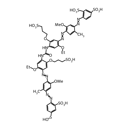 CCOc1cc(NC(=O)Nc2cc(OCC)c(N=Nc3cc(C)c(N=Nc4ccc(S(=O)(=O)O)cc4S(=O)(=O)O)cc3OC)cc2OCCCS(=O)(=O)O)c(OCCCS(=O)(=O)O)cc1N=Nc1cc(C)c(N=Nc2ccc(SO)cc2S(=O)(=O)O)cc1OC